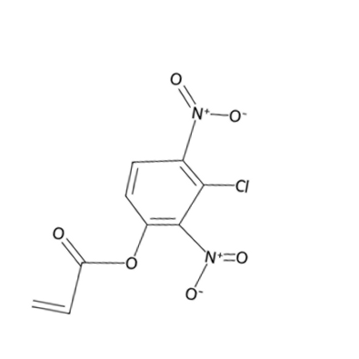 C=CC(=O)Oc1ccc([N+](=O)[O-])c(Cl)c1[N+](=O)[O-]